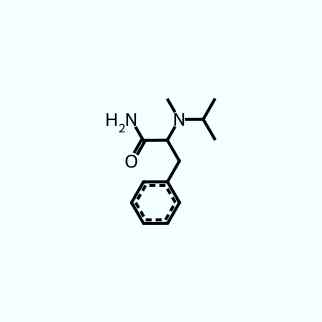 CC(C)N(C)C(Cc1ccccc1)C(N)=O